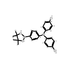 CC1(C)OB(c2ccc(N(c3ccc(Cl)cc3)c3ccc(Cl)cc3)cc2)OC1(C)C